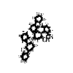 N#CC1=CC(n2c3ccccc3c3c4oc5ccccc5c4ccc32)=CCC1c1c(C#N)cccc1-n1c2ccccc2c2ccccc21